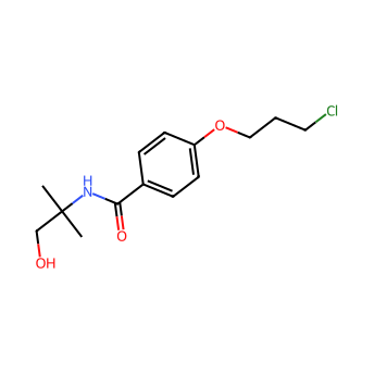 CC(C)(CO)NC(=O)c1ccc(OCCCCl)cc1